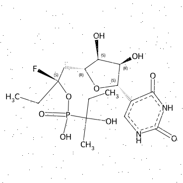 CCC(C)(O)P(=O)(O)O[C@](F)(CC)C[C@H]1O[C@@H](c2c[nH]c(=O)[nH]c2=O)[C@H](O)[C@@H]1O